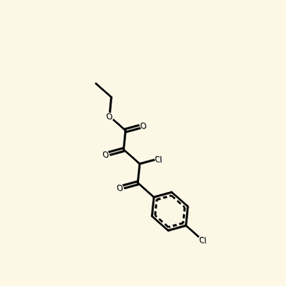 CCOC(=O)C(=O)C(Cl)C(=O)c1ccc(Cl)cc1